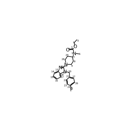 CCOC(=O)N(C)C1CCN(c2nc3ccccc3n2Cc2ccc(F)cc2)CC1